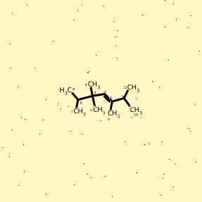 C/C(=C\C(C)(C)C(C)C)C(C)C